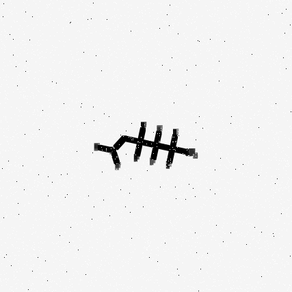 FN(F)CC(F)(F)C(F)(F)C(F)(F)C(F)(F)F